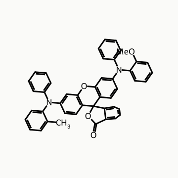 COc1ccccc1N(c1ccccc1)c1ccc2c(c1)Oc1cc(N(c3ccccc3)c3ccccc3C)ccc1C21OC(=O)c2ccccc21